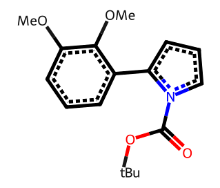 COc1cccc(-c2cccn2C(=O)OC(C)(C)C)c1OC